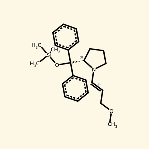 COC/C=C/N1CCC[C@H]1C(O[Si](C)(C)C)(c1ccccc1)c1ccccc1